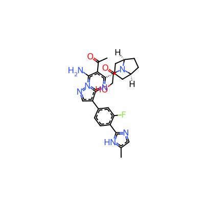 CC(=O)c1c([C@@H]2C[C@H]3CC[C@@H](C2)N3C(=O)CO)nc2c(-c3ccc(-c4ncc(C)[nH]4)c(F)c3)cnn2c1N